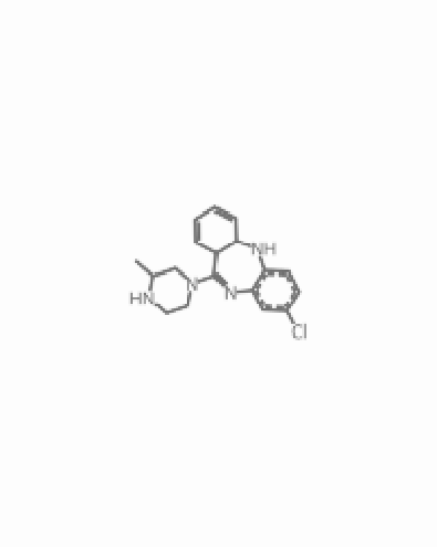 CC1CN(C2=Nc3cc(Cl)ccc3NC3C=CC=CC23)CCN1